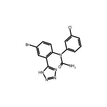 NC(=O)N(c1cccc(Cl)c1)c1ccc(Br)cc1-c1nnn[nH]1